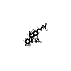 CN(C)CCCc1ccc2cc(-c3cccc(F)c3)cnc2c1.Cl.Cl